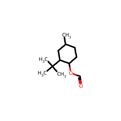 CC1CCC(OC=O)C(C(C)(C)C)C1